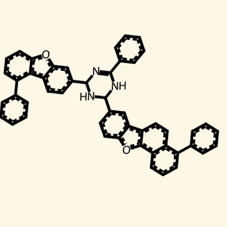 c1ccc(C2=NC(c3ccc4c(c3)oc3cccc(-c5ccccc5)c34)NC(c3ccc4oc5c6cccc(-c7ccccc7)c6ccc5c4c3)N2)cc1